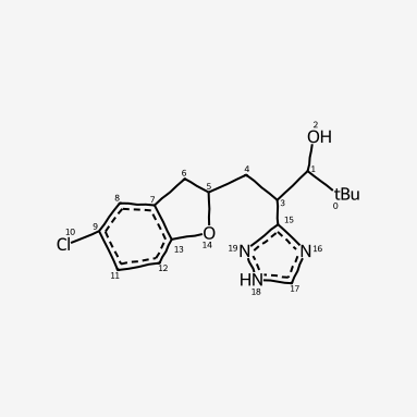 CC(C)(C)C(O)C(CC1Cc2cc(Cl)ccc2O1)c1nc[nH]n1